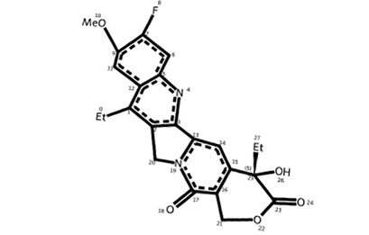 CCc1c2c(nc3cc(F)c(OC)cc13)-c1cc3c(c(=O)n1C2)COC(=O)[C@]3(O)CC